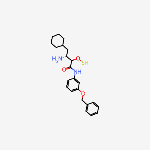 N[C@H](CC1CCCCC1)C(OS)C(=O)Nc1cccc(OCc2ccccc2)c1